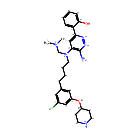 CN(C)CN(CCCCc1cc(F)cc(OC2CCNCC2)c1)c1cc(-c2ccccc2O)nnc1N